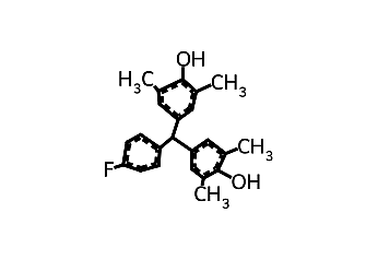 Cc1cc(C(c2ccc(F)cc2)c2cc(C)c(O)c(C)c2)cc(C)c1O